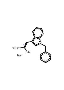 N#C/C(=C\c1cn(Cc2ccccn2)c2ncccc12)C(=O)[O-].[Na+]